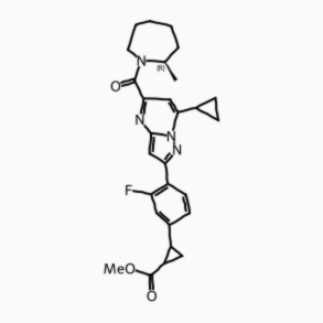 COC(=O)C1CC1c1ccc(-c2cc3nc(C(=O)N4CCCCC[C@H]4C)cc(C4CC4)n3n2)c(F)c1